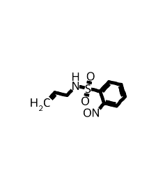 C=CCNS(=O)(=O)c1ccccc1N=O